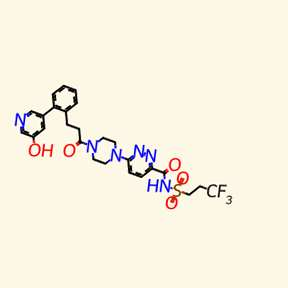 O=C(NS(=O)(=O)CCC(F)(F)F)c1ccc(N2CCN(C(=O)CCc3ccccc3-c3cncc(O)c3)CC2)nn1